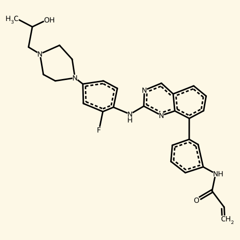 C=CC(=O)Nc1cccc(-c2cccc3cnc(Nc4ccc(N5CCN(CC(C)O)CC5)cc4F)nc23)c1